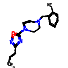 N#Cc1ccccc1CN1CCN(c2nc(CCC(F)(F)F)no2)CC1